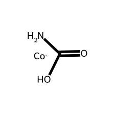 NC(=O)O.[Co]